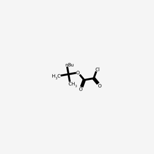 CCCCC(C)(C)OC(=O)C(=O)Cl